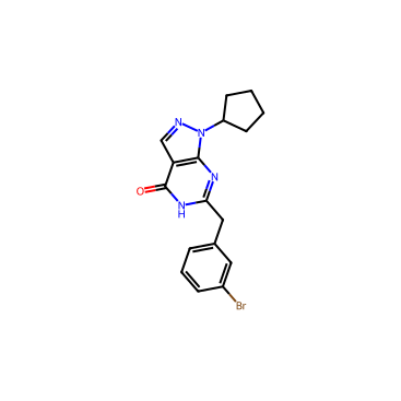 O=c1[nH]c(Cc2cccc(Br)c2)nc2c1cnn2C1CCCC1